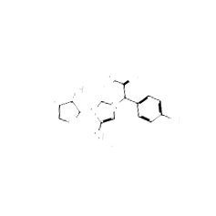 C[C@H]1O[C@@H](N2CN(C(C(N)=O)c3ccc(Cl)cc3)C=C2N)[C@H](O)[C@@H]1O